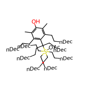 CCCCCCCCCCCCc1c(C)c(O)c(C)c(CCCCCCCCCCCC)c1C(CCCCCCCCCCCC)(CCCCCCCCCCCC)S(CCCCCCCCCCCC)(CCCCCCCCCCCC)(CCCCCCCCCCCC)(CCCCCCCCCCCC)OC(C)=O